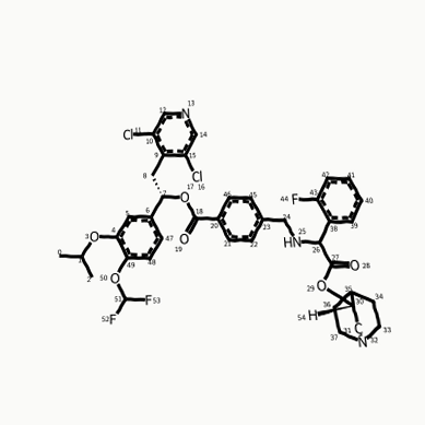 CC(C)Oc1cc([C@H](Cc2c(Cl)cncc2Cl)OC(=O)c2ccc(CNC(C(=O)O[C@H]3CN4CCC3CC4)c3ccccc3F)cc2)ccc1OC(F)F